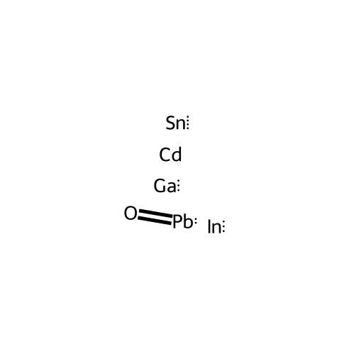 [Cd].[Ga].[In].[O]=[Pb].[Sn]